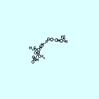 COc1cc(N2CCN(CCC3CC(Oc4ccc(C5CCN(c6ccc(C#N)c(C(F)(F)F)c6)CC5)cc4)C3)CC2)cc2c1C(=O)N(C(C)CCC(=O)NC=O)C2